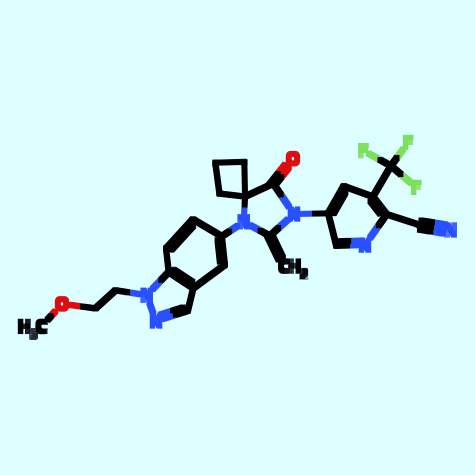 C=C1N(c2cnc(C#N)c(C(F)(F)F)c2)C(=O)C2(CCC2)N1c1ccc2c(cnn2CCOC)c1